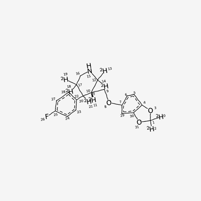 [2H]C1([2H])Oc2ccc(OC[C@@]3([2H])C([2H])([2H])NCC([2H])([2H])C3([2H])c3ccc(F)cc3)cc2O1